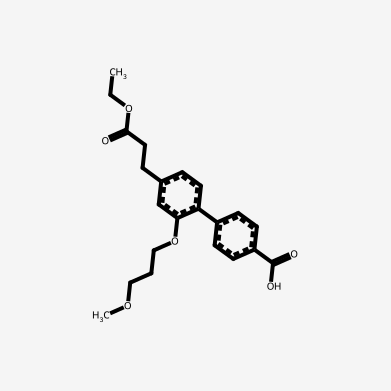 CCOC(=O)CCc1ccc(-c2ccc(C(=O)O)cc2)c(OCCCOC)c1